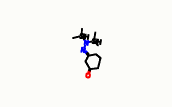 C[SiH](C)N(N=C1CCCC(=O)C1)[SiH](C)C